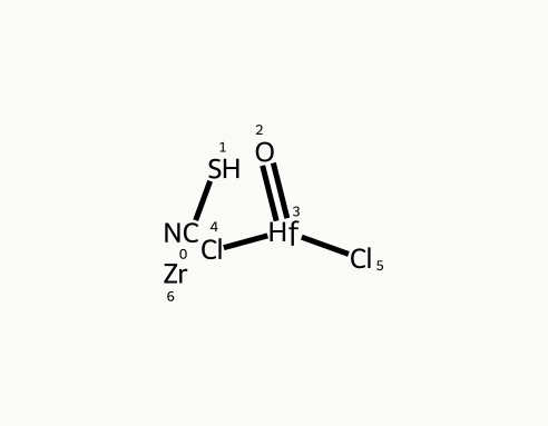 N#CS.[O]=[Hf]([Cl])[Cl].[Zr]